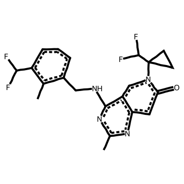 Cc1nc(NCc2cccc(C(F)F)c2C)c2cn(C3(C(F)F)CC3)c(=O)cc2n1